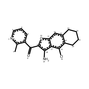 Cc1ncccc1C(=O)c1oc2cc3c(c(Cl)c2c1N)CCCC3